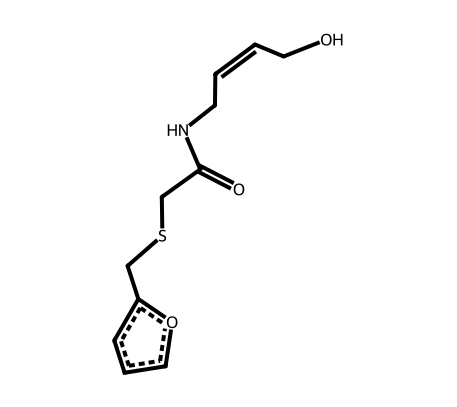 O=C(CSCc1ccco1)NC/C=C\CO